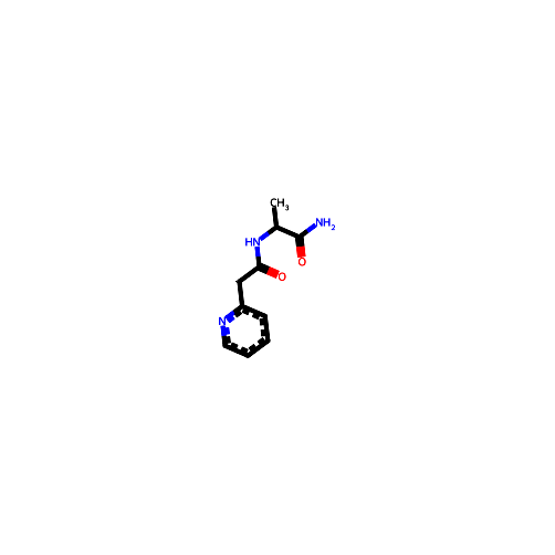 CC(NC(=O)[CH]c1ccccn1)C(N)=O